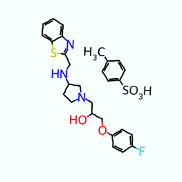 Cc1ccc(S(=O)(=O)O)cc1.OC(COc1ccc(F)cc1)CN1CCC(NCc2nc3ccccc3s2)C1